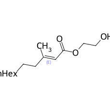 CCCCCCCC/C(C)=C/C(=O)OCCO